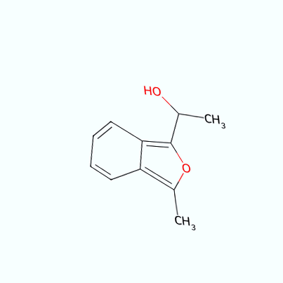 Cc1oc(C(C)O)c2ccccc12